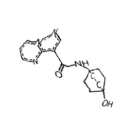 O=C(NC12CCC(O)(CC1)CC2)c1cnn2cccnc12